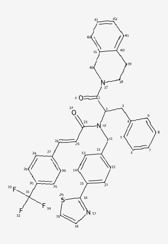 O=C(C(Cc1ccccc1)N(Cc1ccc(-c2nccs2)cc1)C(=O)C=Cc1ccc(C(F)(F)F)cc1)N1CCc2ccccc2C1